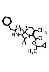 CC1=C(C(=O)OC(C)C2CC2)N2C(=O)C(NC(=O)Cc3ccccc3)[C@H]2SC1